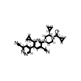 N#Cc1cc(-c2cc(C#N)c(N3CCN(C(=O)C4CC4)[C@H](C4CC4)C3)nc2C2CC2)cnn1